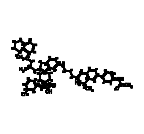 CC(=O)Nc1ccc(-c2cccc([C@@H](C)NC(=O)CCCOc3ccc4c(c3)C3(CCC(Nc5cccc(Cl)c5)(C(=O)O)CC3)[C@@H](C[C@@H](C)COc3ccnc5c3[C@H](C)CCC5)C4)c2)cn1